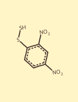 O=[N+]([O-])c1ccc(SS)c([N+](=O)[O-])c1